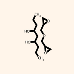 C(OCC1CO1)C1CO1.CCCC(O)CC(O)CCC